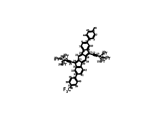 Cc1ccc(-c2ccc3c(c2)C(C#C[Si](C(C)C)(C(C)C)C(C)C)=c2cc4c(cc2-3)=C(C#C[Si](C(C)C)(C(C)C)C(C)C)c2cc(-c3ccc(C(F)(F)F)cc3)ccc2-4)cc1